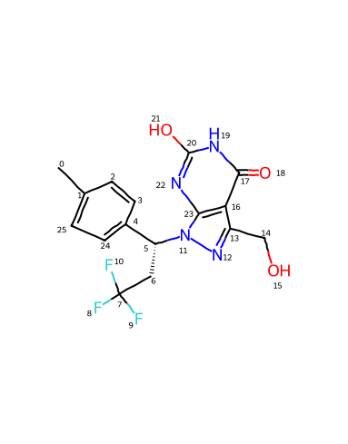 Cc1ccc([C@@H](CC(F)(F)F)n2nc(CO)c3c(=O)[nH]c(O)nc32)cc1